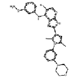 Cc1cc(-c2nc3c(Nc4cccc(SN)c4)c(Br)cnc3[nH]2)c(C)n1-c1cccc(N2CCOCC2)c1